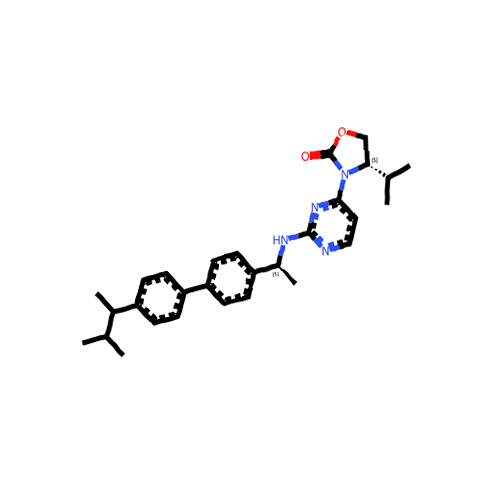 CC(C)C(C)c1ccc(-c2ccc([C@H](C)Nc3nccc(N4C(=O)OC[C@@H]4C(C)C)n3)cc2)cc1